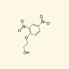 O=[N+]([O-])c1ccc(OCCO)c([N+](=O)[O-])c1